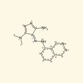 CN(C)C1=NN=C(N)/C1=N\Nc1cccc2cnncc12